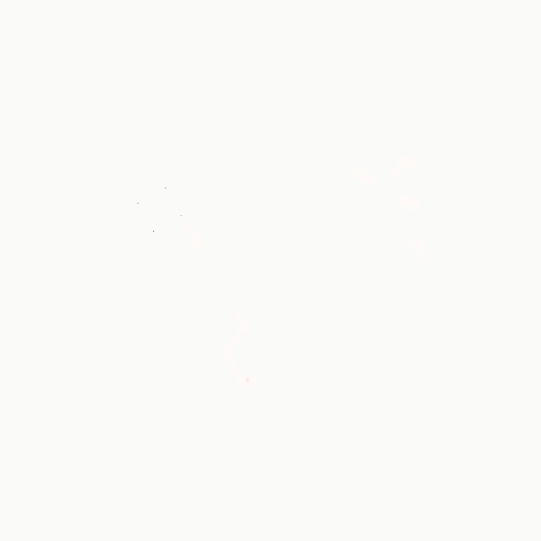 COc1ccc(-c2ccc(OC3(F)C(C)(F)C(F)(F)C3(F)F)c(SOOO)c2)cc1S(=O)(=O)O